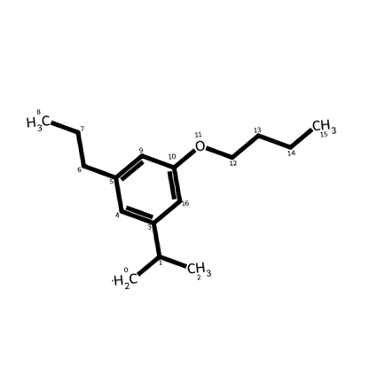 [CH2]C(C)c1cc(CCC)cc(OCCCC)c1